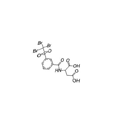 O=C(O)CC(NC(=O)c1cccc(S(=O)(=O)C(Br)(Br)Br)c1)C(=O)O